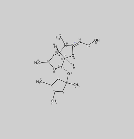 CCCC(C)(CCC)O[C@@H]1OC(C)C[C@H]2[C@H]1O/C(=N\CO)N2C